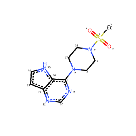 CCS(=O)(=O)N1CCN(c2ncnc3cc[nH]c23)CC1